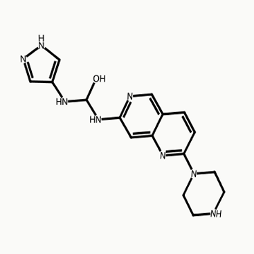 OC(Nc1cn[nH]c1)Nc1cc2nc(N3CCNCC3)ccc2cn1